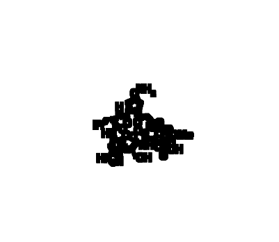 COCCOCCC(=O)N1C[C@@H](ON)C[C@H]1C(=O)N[C@@H](CC(C)C)C(=O)N[C@@H](Cc1cnc[nH]1)C(=O)N[C@@H](CO)C(=O)N[C@H](C(N)=O)C(C)OP(=O)(O)O